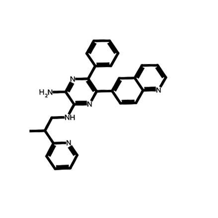 CC(CNc1nc(-c2ccc3ncccc3c2)c(-c2ccccc2)nc1N)c1ccccn1